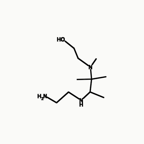 CC(NCCN)C(C)(C)N(C)CCO